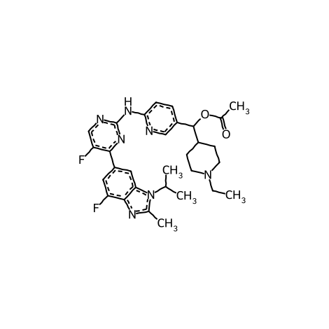 CCN1CCC(C(OC(C)=O)c2ccc(Nc3ncc(F)c(-c4cc(F)c5nc(C)n(C(C)C)c5c4)n3)nc2)CC1